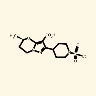 CCS(=O)(=O)N1CCC(c2nn3c(c2C(=O)O)O[C@H](C)CC3)CC1